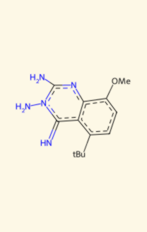 COc1ccc(C(C)(C)C)c2c(=N)n(N)c(N)nc12